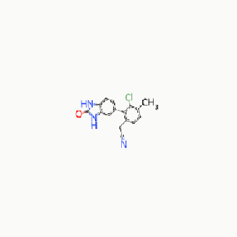 Cc1ccc(CC#N)c(-c2ccc3[nH]c(=O)[nH]c3c2)c1Cl